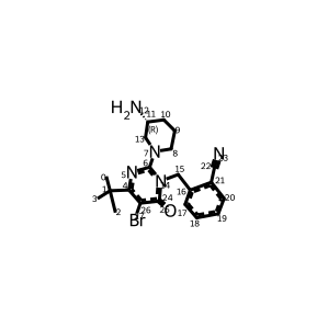 CC(C)(C)c1nc(N2CCC[C@@H](N)C2)n(Cc2ccccc2C#N)c(=O)c1Br